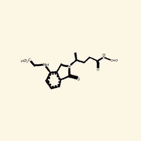 CC(CCC(=O)NC=O)N1Cc2c(NCC(=O)O)cccc2C1=O